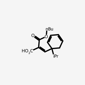 CCCCOC(=O)C(=CC1(C(C)C)C=CC=CC1)C(=O)O